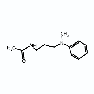 CC(=O)NCCCN(C)c1ccccc1